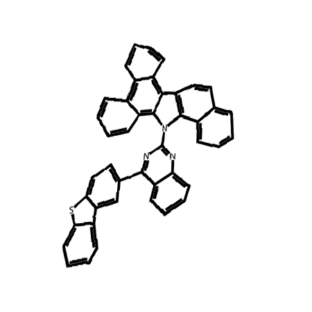 c1ccc2c(c1)ccc1c3c4ccccc4c4ccccc4c3n(-c3nc(-c4ccc5sc6ccccc6c5c4)c4ccccc4n3)c21